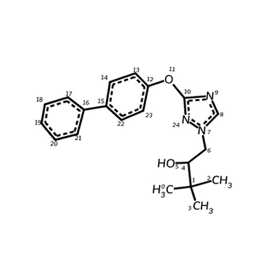 CC(C)(C)C(O)Cn1cnc(Oc2ccc(-c3ccccc3)cc2)n1